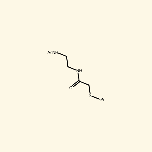 CC(=O)NCCNC(=O)CSC(C)C